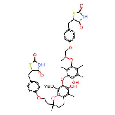 COc1c(Oc2c(O)c(C)c(C)c3c2CCC(COc2ccc(CC4SC(=O)NC4=O)cc2)O3)c(O)c(C)c2c1OC(C)(CCOc1ccc(CC3SC(=O)NC3=O)cc1)CC2